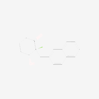 O=C1CCC[C@@H](O)[C@@]1(F)Cc1ccc2ccccc2c1